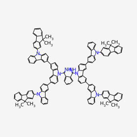 CC1(C)c2ccccc2-c2ccc(-n3c4ccccc4c4cc(-c5ccc6c(c5)c5cc(-c7ccc8c(c7)c7ccccc7n8-c7ccc8c(c7)C(C)(C)c7ccccc7-8)ccc5n6C(=N)c5ccccc5C(=N)n5c6ccc(-c7ccc8c(c7)c7ccccc7n8-c7ccc8c(c7)C(C)(C)c7ccccc7-8)cc6c6cc(-c7ccc8c(c7)c7ccccc7n8-c7ccc8c(c7)C(C)(C)c7ccccc7-8)ccc65)ccc43)cc21